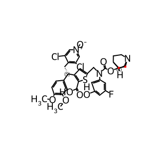 COc1ccc([C@H](Cc2c(Cl)c[n+]([O-])cc2Cl)c2cc(CN(C(=O)O[C@H]3CN4CCC3CC4)c3cc(O)cc(F)c3)sc2C(=O)O)cc1OC